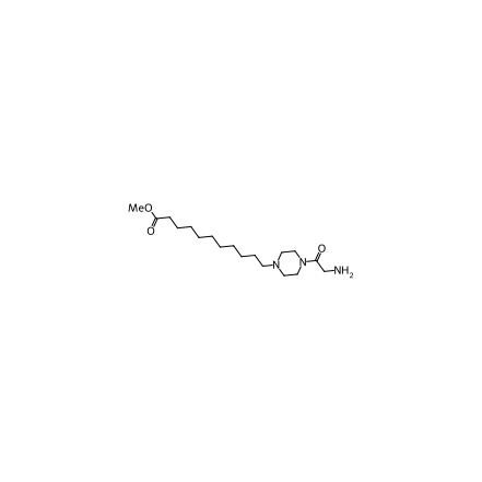 COC(=O)CCCCCCCCCCN1CCN(C(=O)CN)CC1